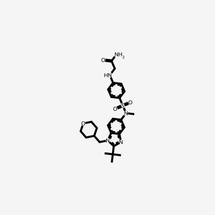 CN(c1ccc2c(c1)nc(C(C)(C)C)n2CC1CCOCC1)S(=O)(=O)c1ccc(NCC(N)=O)cc1